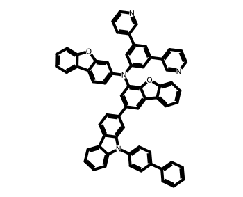 c1ccc(-c2ccc(-n3c4ccccc4c4ccc(-c5cc(N(c6cc(-c7cccnc7)cc(-c7cccnc7)c6)c6ccc7c(c6)oc6ccccc67)c6oc7ccccc7c6c5)cc43)cc2)cc1